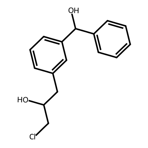 OC(CCl)Cc1cccc(C(O)c2ccccc2)c1